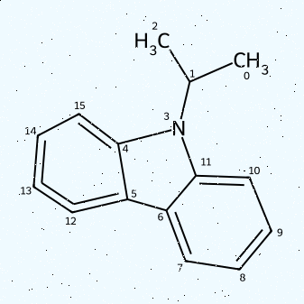 CC(C)n1c2c(c3ccccc31)=C=C=CC=2